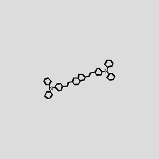 C(=C\c1ccc2cc(/C=C/c3ccc(N(c4ccccc4)c4ccccc4)cc3)ccc2c1)/c1ccc(N(c2ccccc2)c2ccccc2)cc1